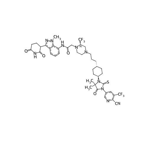 Cn1nc(C2CCC(=O)NC2=O)c2cccc(NC(=O)CN3CCN(CCC[C@H]4CC[C@H](N5C(=S)N(c6cnc(C#N)c(C(F)(F)F)c6)C(=O)C5(C)C)CC4)C[C@@H]3C(F)(F)F)c21